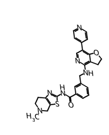 CN1CCc2nc(NC(=O)c3cccc(CNc4ncc(-c5ccncc5)c5c4CCO5)c3)sc2C1